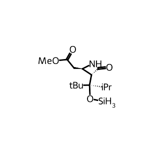 COC(=O)C[C@H]1NC(=O)[C@@H]1[C@](O[SiH3])(C(C)C)C(C)(C)C